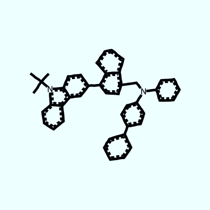 CC(C)(C)n1c2ccccc2c2cc(-c3ccc(CN(c4ccccc4)c4ccc(-c5ccccc5)cc4)c4ccccc34)ccc21